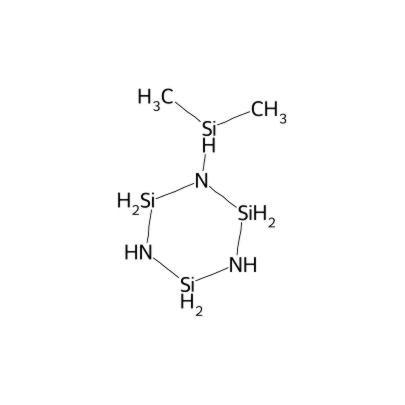 C[SiH](C)N1[SiH2]N[SiH2]N[SiH2]1